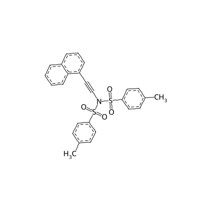 Cc1ccc(S(=O)(=O)N(C#Cc2cccc3ccccc23)S(=O)(=O)c2ccc(C)cc2)cc1